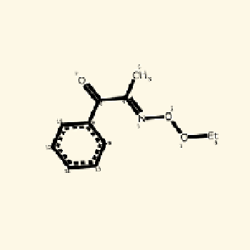 CCOON=C(C)C(=O)c1ccccc1